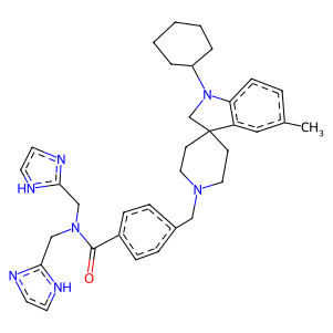 Cc1ccc2c(c1)C1(CCN(Cc3ccc(C(=O)N(Cc4ncc[nH]4)Cc4ncc[nH]4)cc3)CC1)CN2C1CCCCC1